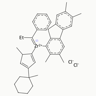 CC/[C](c1ccccc1)=[Zr+2](\[C]1=CC(C2(C)CCCCC2)=CC1C)[c]1c(C)c(C)cc2c1Cc1cc(C)c(C)cc1-2.[Cl-].[Cl-]